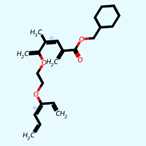 C=C/C=C(\C=C)OCCOC(=C)/C(C)=C\C(=C)C(=O)OCC1CCCCC1